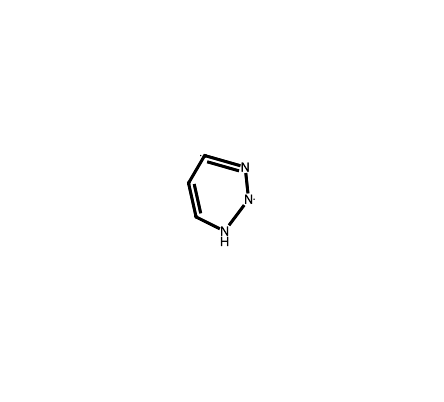 [C]1=N[N]NC=C1